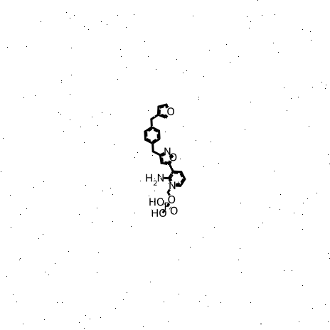 Nc1c(-c2cc(Cc3ccc(Cc4ccoc4)cc3)no2)ccc[n+]1COP(=O)(O)O